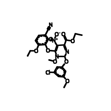 CCOC(=O)C1=NC(Oc2cc(Cl)cc(OC)c2)N(OC)C(Oc2cc(C#N)ccc2OCC)=C1[N+](=O)[O-]